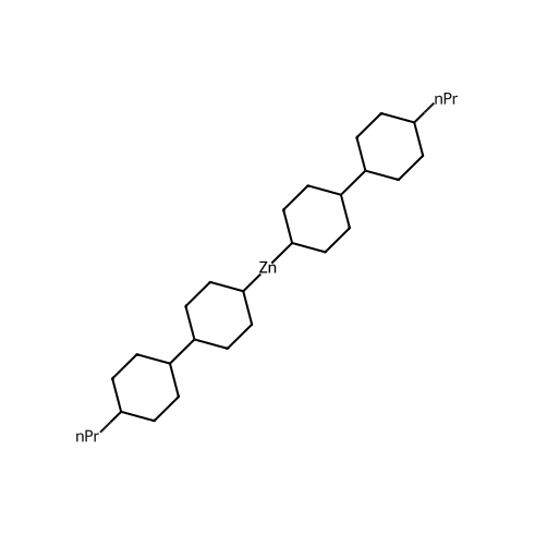 CCCC1CCC(C2CC[CH]([Zn][CH]3CCC(C4CCC(CCC)CC4)CC3)CC2)CC1